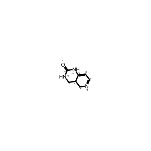 O=C1NCC2CN=CC=C2N1